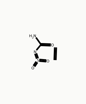 C=C.NC(=O)N=S(=O)=O